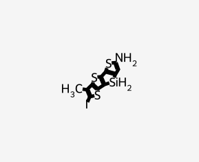 Cc1c(I)sc2c3c(sc12)-c1sc(N)cc1[SiH2]3